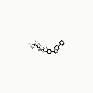 CC(C)(C)c1cc(NC(=O)Nc2ccc(-c3cnc4cc(-c5ccncc5)ccn34)cc2F)no1